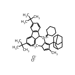 CC1=CC(C)[C]([Zr+2](=[C]2CCCCC2)[CH]2c3ccc(C(C)(C)C)cc3-c3cc(C(C)(C)C)ccc32)=C1C12CC3CC(CC(C3)C1)C2.[Cl-].[Cl-]